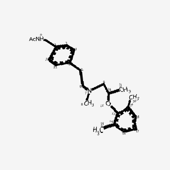 CC(=O)Nc1ccc(CCN(C)CC(C)Oc2c(C)cccc2C)cc1